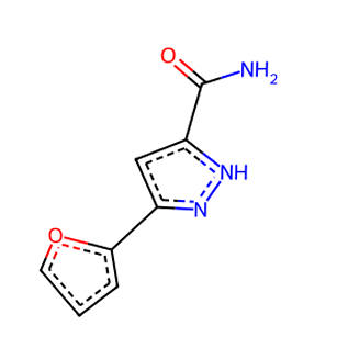 NC(=O)c1cc(-c2ccco2)n[nH]1